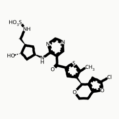 Cc1sc(C(=O)c2cncnc2N[C@H]2C[C@H](O)[C@@H]([CH]NS(=O)(=O)O)C2)cc1[C@@H]1OCCc2oc(Cl)cc21